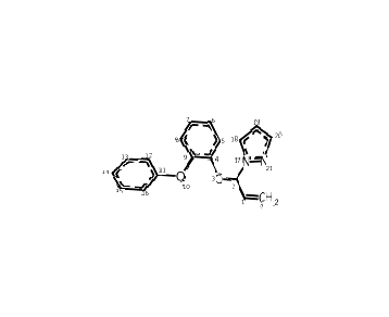 C=CC(Oc1ccccc1Oc1ccccc1)n1cccn1